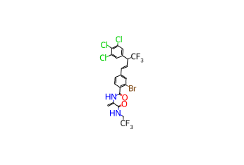 C=C(NC(=O)c1ccc(/C=C/C(c2cc(Cl)c(Cl)c(Cl)c2)C(F)(F)F)cc1Br)C(=O)NCC(F)(F)F